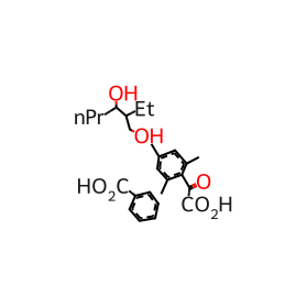 CCCC(O)C(CC)CO.Cc1cc(C)c(C(=O)C(=O)O)c(C)c1.O=C(O)c1ccccc1